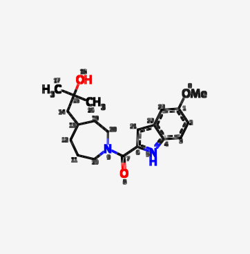 COc1ccc2[nH]c(C(=O)N3CCCC(CC(C)(C)O)CC3)cc2c1